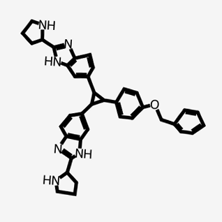 c1ccc(COc2ccc(C3C(c4ccc5nc(C6CCCN6)[nH]c5c4)C3c3ccc4nc(C5CCCN5)[nH]c4c3)cc2)cc1